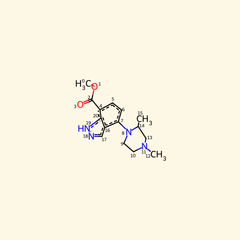 COC(=O)c1ccc(N2CCN(C)CC2C)c2cn[nH]c12